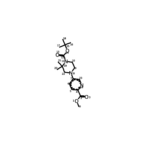 COC(=O)c1ccc(N2CCN(C(=O)OC(C)(C)C)C(C)(C)C2)cn1